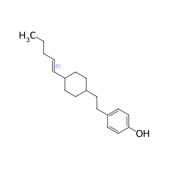 CCC/C=C/C1CCC(CCc2ccc(O)cc2)CC1